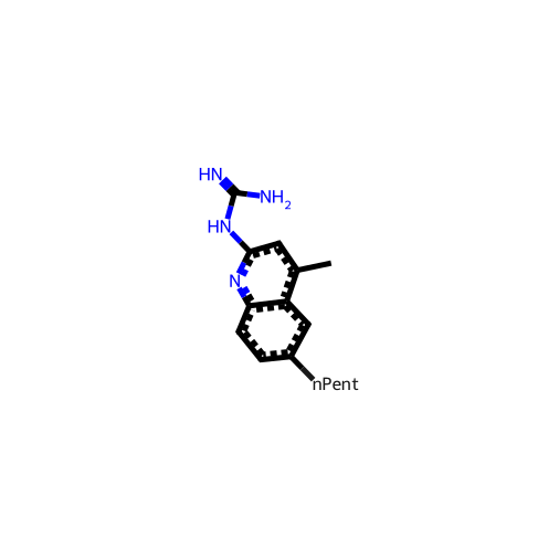 CCCCCc1ccc2nc(NC(=N)N)cc(C)c2c1